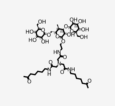 CC(=O)CCCCCNC(=O)CN(CC(=O)NCCCCCC(C)=O)CC(=O)NCCO[C@H]1O[C@H](CO[C@H]2O[C@H](CO)[C@@H](O)[C@H](O)[C@@H]2O)[C@@H](C)[C@H](O[C@H]2O[C@H](CO)[C@@H](O)[C@H](O)[C@@H]2O)[C@@H]1O